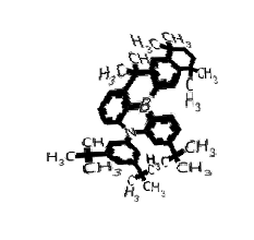 CC(C)(C)c1cc(N2c3cc(C(C)(C)C)ccc3B3c4cc5c(cc4C(C)(C)c4cccc2c43)C(C)(C)CCC5(C)C)cc(C(C)(C)C)c1